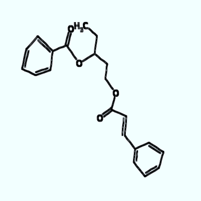 CCC(CCOC(=O)/C=C/c1ccccc1)OC(=O)c1ccccc1